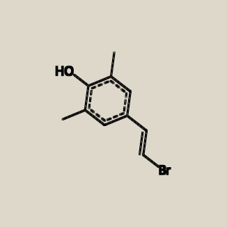 Cc1cc(/C=C/Br)cc(C)c1O